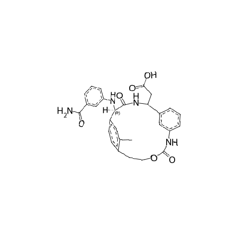 Cc1cc2ccc1CCOC(=O)Nc1cccc(c1)C(CC(=O)O)NC(=O)[C@@H]2Nc1cccc(C(N)=O)c1